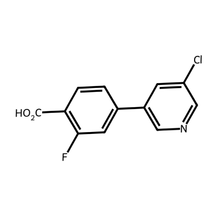 O=C(O)c1ccc(-c2cncc(Cl)c2)cc1F